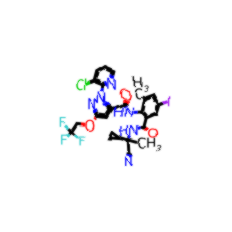 Cc1cc(I)cc(C(=O)NC(C)(C#N)C2CC2)c1NC(=O)c1cc(OCC(F)(F)F)nn1-c1ncccc1Cl